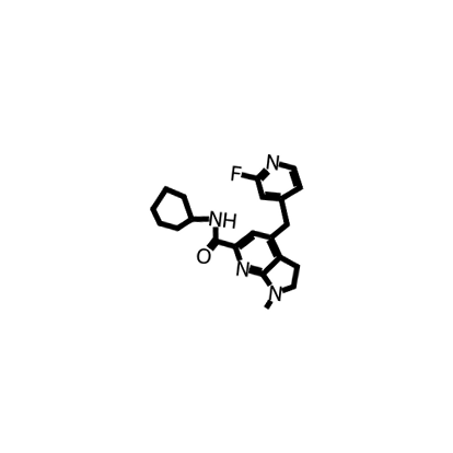 CN1CCc2c(Cc3ccnc(F)c3)cc(C(=O)NC3CCCCC3)nc21